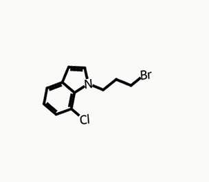 Clc1cccc2ccn(CCCBr)c12